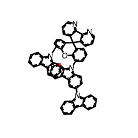 c1cnc2c(c1)C1(c3cccnc3-2)c2cccc(-n3c4ccccc4c4ccccc43)c2Oc2c(-n3c4ccccc4c4cc(-n5c6ccccc6c6ccccc65)ccc43)cccc21